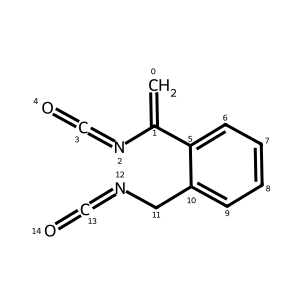 C=C(N=C=O)c1ccccc1CN=C=O